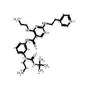 CCCNc1nc(NCCc2ccncc2)ncc1C(=O)Nc1cccc(N(CCN)C(=O)OC(C)(C)C)c1